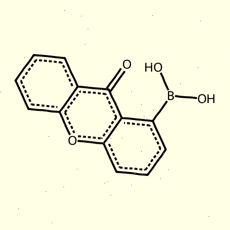 O=c1c2ccccc2oc2cccc(B(O)O)c12